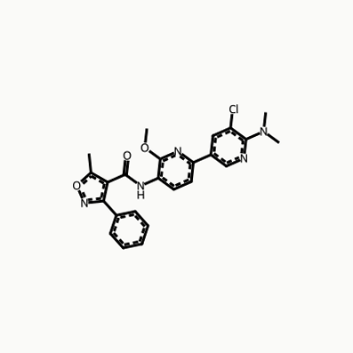 COc1nc(-c2cnc(N(C)C)c(Cl)c2)ccc1NC(=O)c1c(-c2ccccc2)noc1C